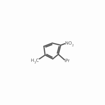 [CH2]C(C)c1cc(C)ccc1[N+](=O)[O-]